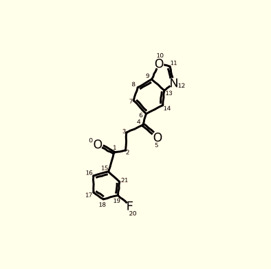 O=C(CCC(=O)c1ccc2ocnc2c1)c1cccc(F)c1